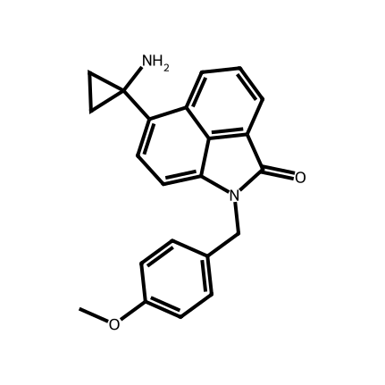 COc1ccc(CN2C(=O)c3cccc4c(C5(N)CC5)ccc2c34)cc1